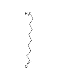 CCCCCCCCS[C]=O